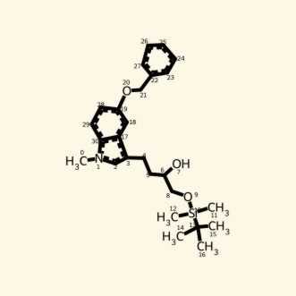 Cn1cc(CCC(O)CO[Si](C)(C)C(C)(C)C)c2cc(OCc3ccccc3)ccc21